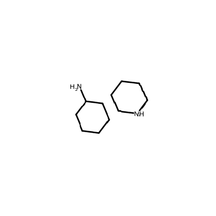 C1CCNCC1.NC1CCCCC1